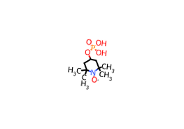 CC1(C)CC(OP(=O)(O)O)CC(C)(C)N1[O]